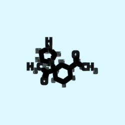 CC(=O)C1CCCC(C(C)=O)(N2CCNC2)C1